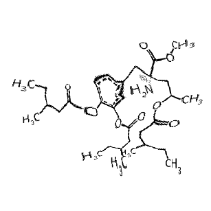 CCC(C)CC(=O)Oc1ccc(C[C@](N)(CC(C)OC(=O)CC(C)CC)C(=O)OC)cc1OC(=O)CC(C)CC